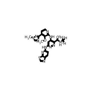 [2H]C([2H])([2H])NC(=O)c1nnc(Nc2ccc3ncsc3n2)cc1Nc1nccc(-c2ncn(C)n2)c1OC